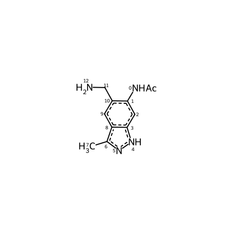 CC(=O)Nc1cc2[nH]nc(C)c2cc1CN